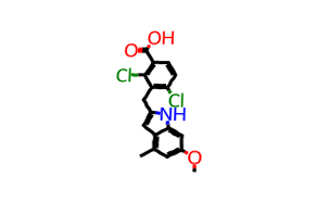 COc1cc(C)c2cc(Cc3c(Cl)ccc(C(=O)O)c3Cl)[nH]c2c1